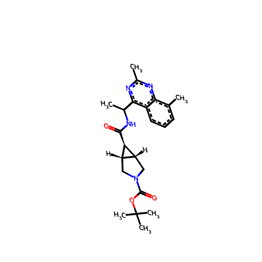 Cc1nc(C(C)NC(=O)[C@H]2[C@@H]3CN(C(=O)OC(C)(C)C)C[C@@H]32)c2cccc(C)c2n1